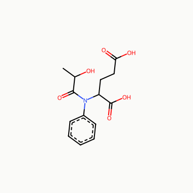 CC(O)C(=O)N(c1ccccc1)C(CCC(=O)O)C(=O)O